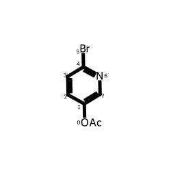 CC(=O)Oc1ccc(Br)nc1